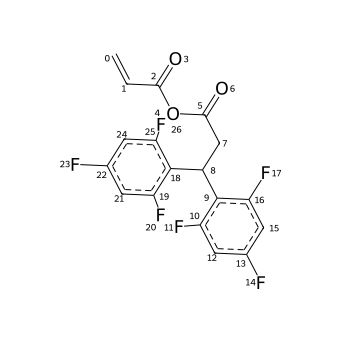 C=CC(=O)OC(=O)CC(c1c(F)cc(F)cc1F)c1c(F)cc(F)cc1F